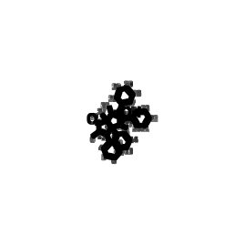 CC1=C(c2ccccc2)C2(c3ccccc3)C3(C)C(c4ccccc4)=C(c4ccccc4)C(C)(C3O)C2(C)C1=O